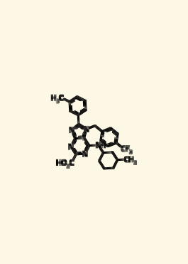 Cc1cccc(-c2nc3nc(C(=O)O)nc(NC4CCCC(C)C4)c3n2Cc2ccc(C(F)(F)F)cc2)c1